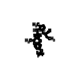 CCN(C#N)C[C@@H]1CCC(C)[C@H]1Nc1nc(Oc2cccc(OC(F)(F)F)c2)n(C(C)C)n1